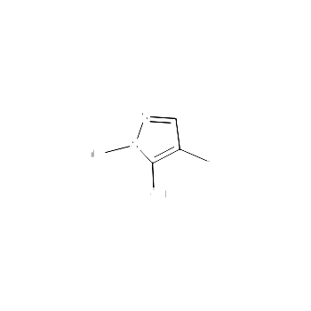 CCc1cnn(C(C)C)c1O